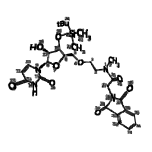 CN(CCOC[C@H]1O[C@@H](n2ccc(=O)[nH]c2=O)[C@@H](O)C1O[Si](C)(C)C(C)(C)C)C(=O)CN1C(=O)c2ccccc2C1=O